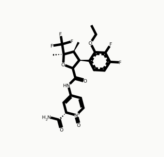 CCOc1c([C@H]2C(C(=O)NC3=C[C@@H](C(N)=O)[N+](=O)C=C3)O[C@@](C)(C(F)(F)F)[C@H]2C)ccc(F)c1F